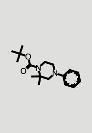 CC(C)(C)OC(=O)N1CCN(c2ccccc2)CC1(C)C